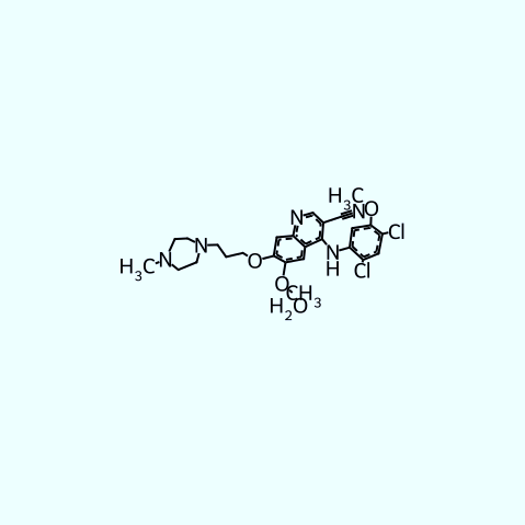 COc1cc(Nc2c(C#N)cnc3cc(OCCCN4CCN(C)CC4)c(OC)cc23)c(Cl)cc1Cl.O